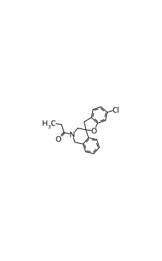 CCC(=O)N1Cc2ccccc2C2(Cc3ccc(Cl)cc3O2)C1